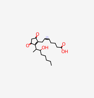 CCCCCC(O)C(C)C1=C(C/C=C\CCCC(=O)O)C(=O)CC1=O